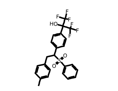 Cc1ccc(CC(c2ccc(C(O)(C(F)(F)F)C(F)(F)F)cc2)S(=O)(=O)c2ccccc2)cc1